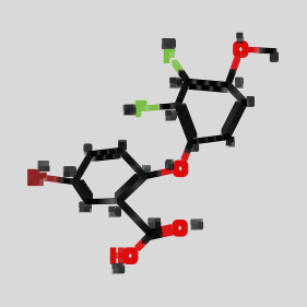 COc1ccc(Oc2ccc(Br)cc2C(=O)O)c(F)c1F